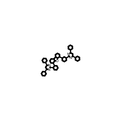 c1ccc(-c2cc(-c3ccccc3)nc(-c3cccc(-c4cccc5c4oc4c(-c6ccccc6-c6nc(-c7ccccc7)cc(-c7ccccc7)n6)cccc45)c3)n2)cc1